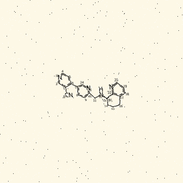 N#Cc1cnccc1-c1ccc(CN[C@@H]2CCCc3cccnc32)nc1